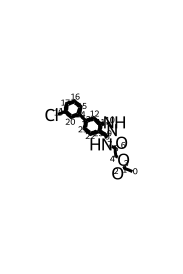 CC(=O)OCC(=O)Nc1n[nH]c2cc(-c3cccc(Cl)c3)ccc12